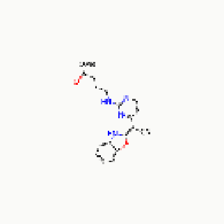 COC(=O)CCCNc1nccc(C(C#N)=C2Nc3ccccc3O2)n1